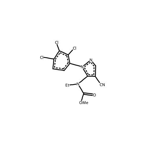 CCN(C(=O)OC)c1c(C#N)cnn1-c1ccc(Cl)c(Cl)c1Cl